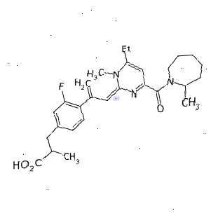 C=C(/C=C1/N=C(C(=O)N2CCCCCC2C)C=C(CC)N1C)c1ccc(CC(C)C(=O)O)cc1F